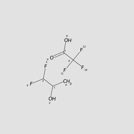 CC(O)C(F)F.O=C(O)C(F)(F)F